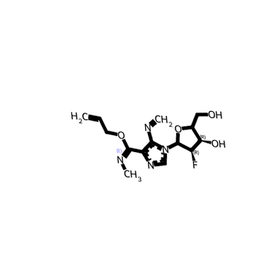 C=CCO/C(=N/C)c1ncn(C2OC(CO)[C@@H](O)[C@H]2F)c1N=C